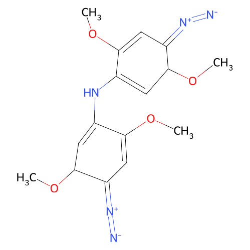 COC1=CC(=[N+]=[N-])C(OC)C=C1NC1=CC(OC)C(=[N+]=[N-])C=C1OC